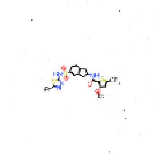 CCOc1cc(C(F)(F)F)sc1C(=O)NC1Cc2ccc(S(=O)(=O)Nc3nnc(C(C)C)s3)cc2C1